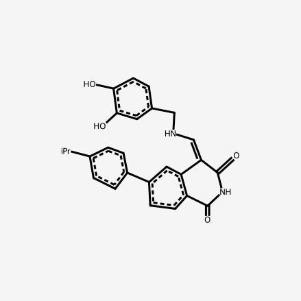 CC(C)c1ccc(-c2ccc3c(c2)/C(=C\NCc2ccc(O)c(O)c2)C(=O)NC3=O)cc1